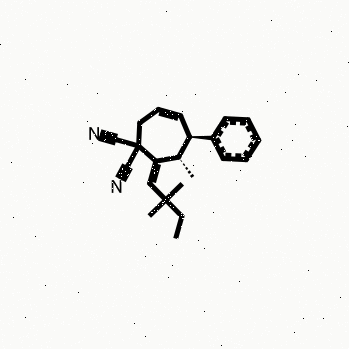 CCC(C)(C)/C=C1\[C@@H](C)[C@H](c2ccccc2)C=CCC1(C#N)C#N